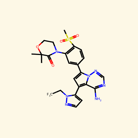 CC1(C)OCCN(c2cc(-c3cc(-c4ccnn4CC(F)(F)F)c4c(N)ncnn34)ccc2S(C)(=O)=O)C1=O